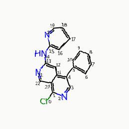 Clc1ncc(-c2ccccc2)c2cc(Nc3ccccn3)ncc12